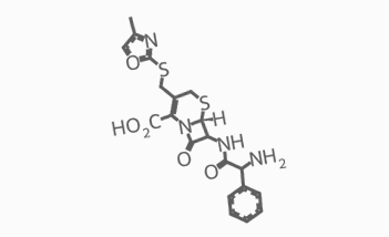 Cc1coc(SCC2=C(C(=O)O)N3C(=O)C(NC(=O)C(N)c4ccccc4)[C@H]3SC2)n1